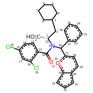 O=C(O)[C@H](CC1CCCCC1)N(C(=O)c1ccc(Cl)cc1Cl)C(c1ccccc1)c1ccc2cccc-2o1